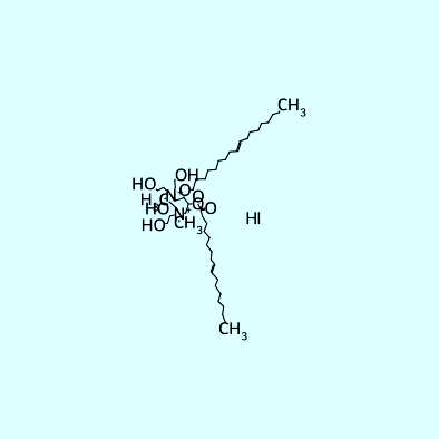 CCCCCCCCC=CCCCCCCCC(=O)OC(C[N+](C)(CCO)CCO)C(C[N+](C)(CCO)CCO)OC(=O)CCCCCCCC=CCCCCCCCC.I